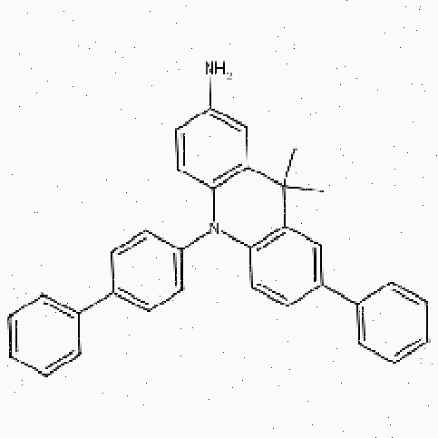 CC1(C)c2cc(N)ccc2N(c2ccc(-c3ccccc3)cc2)c2ccc(-c3ccccc3)cc21